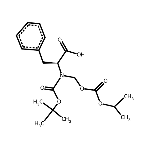 CC(C)OC(=O)OCN(C(=O)OC(C)(C)C)[C@@H](Cc1ccccc1)C(=O)O